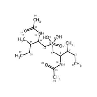 CCC(C)C(CS(=O)(O)(O)CC(NC(C)=O)C(C)CC)NC(C)=O